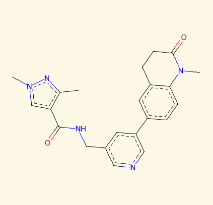 Cc1nn(C)cc1C(=O)NCc1cncc(-c2ccc3c(c2)CCC(=O)N3C)c1